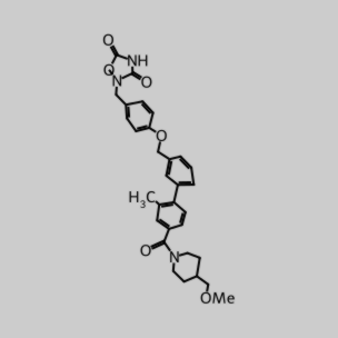 COCC1CCN(C(=O)c2ccc(-c3cccc(COc4ccc(Cn5oc(=O)[nH]c5=O)cc4)c3)c(C)c2)CC1